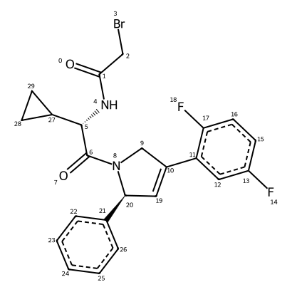 O=C(CBr)N[C@H](C(=O)N1CC(c2cc(F)ccc2F)=C[C@H]1c1ccccc1)C1CC1